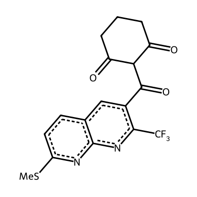 CSc1ccc2cc(C(=O)C3C(=O)CCCC3=O)c(C(F)(F)F)nc2n1